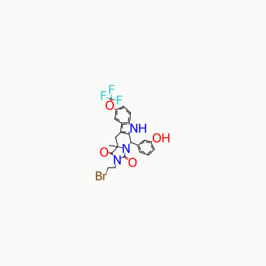 CC12Cc3c([nH]c4ccc(OC(F)(F)F)cc34)C(c3cccc(O)c3)N1C(=O)N(CCBr)C2=O